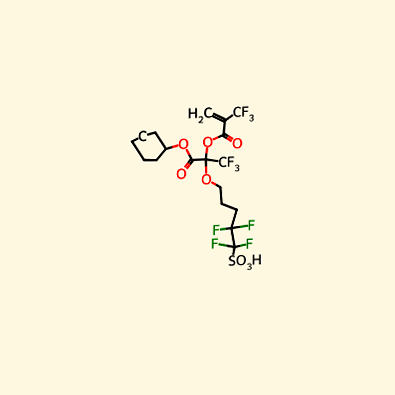 C=C(C(=O)OC(OCCCC(F)(F)C(F)(F)S(=O)(=O)O)(C(=O)OC1CCCCC1)C(F)(F)F)C(F)(F)F